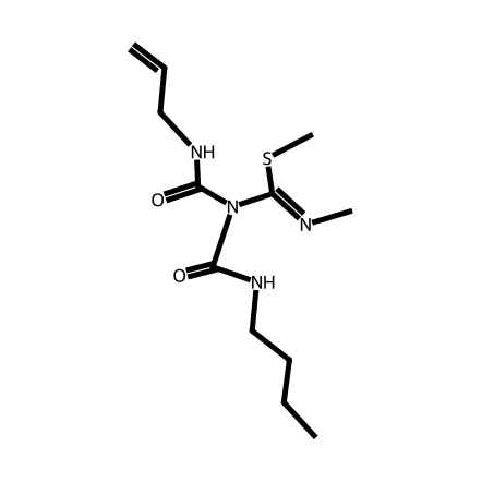 C=CCNC(=O)N(C(=O)NCCCC)C(=NC)SC